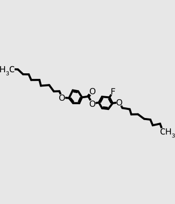 CCCCCCCCCCOc1ccc(C(=O)Oc2ccc(OCCCCCCCCC)c(F)c2)cc1